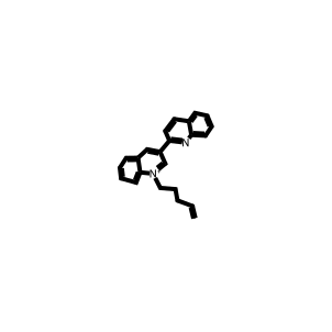 C=CCCC[n+]1cc(-c2ccc3ccccc3n2)cc2ccccc21